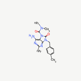 CCCc1nc(N)c2c(n1)n(Cc1ccc(C)cc1)c(=O)n2C(=O)N(C)CCC